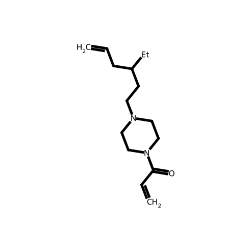 C=CCC(CC)CCN1CCN(C(=O)C=C)CC1